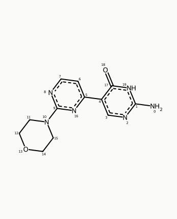 Nc1ncc(-c2ccnc(N3CCOCC3)n2)c(=O)[nH]1